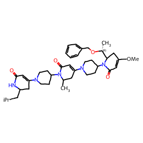 COC1=CC(=O)N(C2CCN(C3=CC(=O)N(C4CCN(C5=CC(=O)NC(CC(C)C)C5)CC4)C(C)C3)CC2)C([C@@H](C)OCc2ccccc2)C1